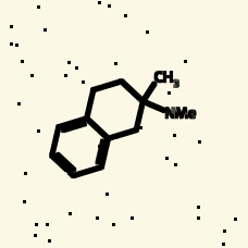 CNC1(C)CCc2ccccc2C1